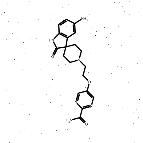 NC(=O)c1ncc(OCCN2CCC3(CC2)C(=O)Nc2ccc(N)cc23)cn1